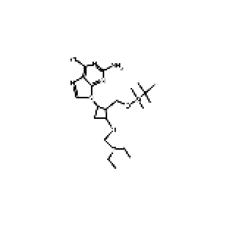 CCP(CC)COC1CC(n2cnc3c(Cl)nc(N)nc32)C1CO[Si](C)(C)C(C)(C)C